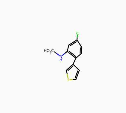 O=C(O)Nc1cc(Cl)ccc1-c1ccsc1